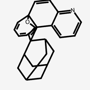 C1=CC23C=Cc4ncccc4C2(C=C1)C1(C=CO3)C2CC3CC(C2)CC1C3